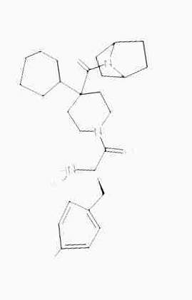 O=C([C@@H](Cc1ccc(F)cc1)NCl)N1CCC(C(=O)N2C3CCC2CC3)(C2CCCCC2)CC1